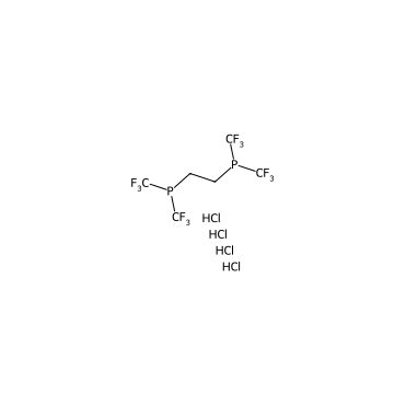 Cl.Cl.Cl.Cl.FC(F)(F)P(CCP(C(F)(F)F)C(F)(F)F)C(F)(F)F